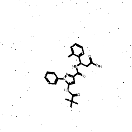 Cc1ccccc1C(CC(=O)O)NC(=O)c1cc(NC(=O)C(C)(C)C)n(-c2ccccc2)n1